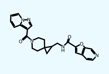 O=C(NCC1CC12CCN(C(=O)c1cnn3ccccc13)CC2)c1cc2ccncc2o1